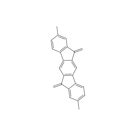 C=C1c2cc(C)ccc2-c2cc3c(cc21)-c1ccc(C)cc1C3=C